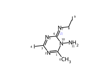 Cc1nc(I)n/c(=N/CI)n1N